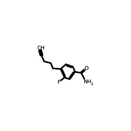 C#CCCCc1ccc(C(N)=O)cc1F